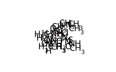 C=C[C@@H]1CC1(NC(=O)[C@@H]1C[C@@H](Oc2cc(-c3csc(NC(C)C)n3)nc3c(Cl)c(OCCN(C)CCN(C)CC)ccc23)CN1C(=O)[C@@H](NC(=O)O[C@@H]1C[C@@H]2C[C@@H]2C1)C(C)(C)C)C(=O)OC